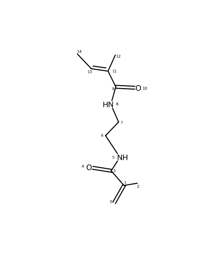 C=C(C)C(=O)NCCNC(=O)C(C)=CC